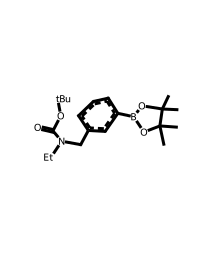 CCN(Cc1cccc(B2OC(C)(C)C(C)(C)O2)c1)C(=O)OC(C)(C)C